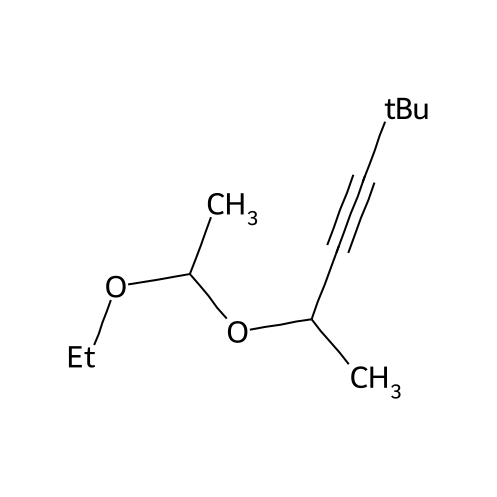 CCOC(C)OC(C)C#CC(C)(C)C